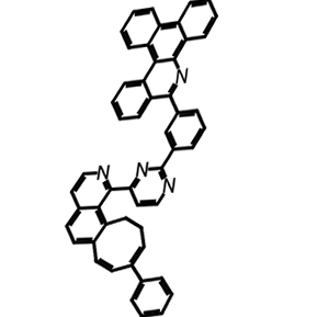 C1=C\c2ccc3ccnc(-c4ccnc(-c5cccc(-c6nc7c8ccccc8c8ccccc8c7c7ccccc67)c5)n4)c3c2CC\C=C/1c1ccccc1